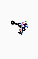 Cc1cc(C#Cc2ccccc2)cnc1NC(=O)c1c(Cl)cnn1C1CCC(NC(=O)C(C)C)CC1